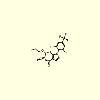 CCCOC(C=C=O)Oc1c([N+](=O)[O-])cnn1-c1c(Cl)cc(C(F)(F)F)cc1Cl